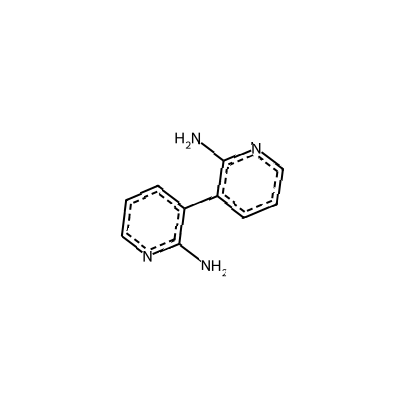 Nc1ncccc1-c1cccnc1N